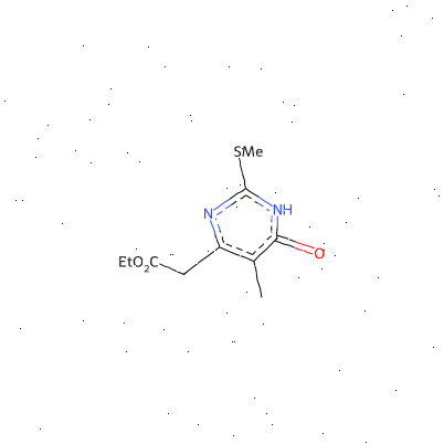 CCOC(=O)Cc1nc(SC)[nH]c(=O)c1C